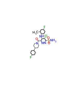 Cc1cc(F)ccc1Nc1c(C(=O)N2CCC(c3ccc(F)cc3)CC2)nnc(S(N)(=O)=O)c1Cl